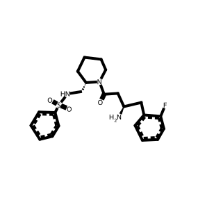 N[C@@H](CC(=O)N1CCCC[C@H]1CNS(=O)(=O)c1ccccc1)Cc1ccccc1F